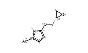 CC(=O)n1ccc(OC[C@@H]2CO2)n1